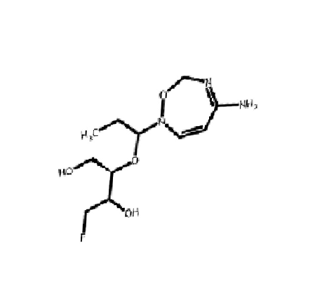 CCC(O[C@H](CO)C(O)CF)N1C=CC(N)=NCO1